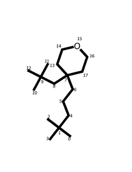 CC(C)(C)CCCC1(CC(C)(C)C)CCOCC1